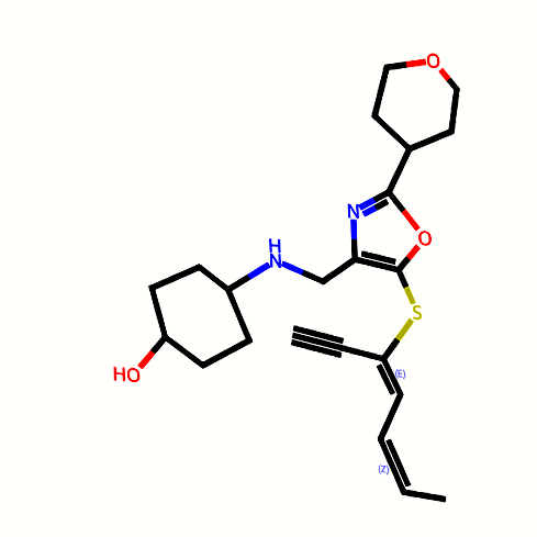 C#C/C(=C\C=C/C)Sc1oc(C2CCOCC2)nc1CNC1CCC(O)CC1